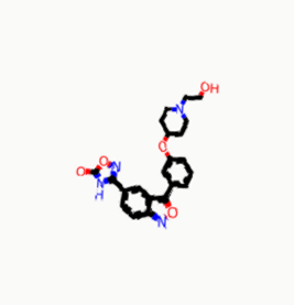 O=c1[nH]c(-c2ccc3noc(-c4cccc(OC5CCN(CCO)CC5)c4)c3c2)no1